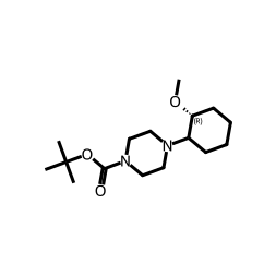 CO[C@@H]1CCCCC1N1CCN(C(=O)OC(C)(C)C)CC1